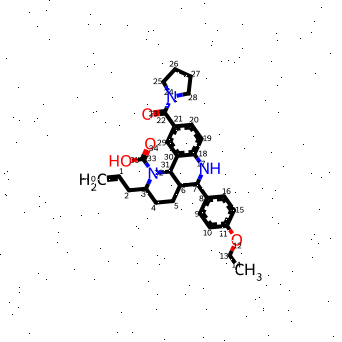 C=CCC1CCC2C(c3ccc(OCC)cc3)Nc3ccc(C(=O)N4CCCC4)cc3C2N1C(=O)O